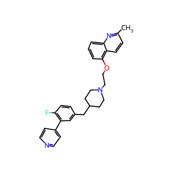 Cc1ccc2c(OCCN3CCC(Cc4ccc(F)c(-c5ccncc5)c4)CC3)cccc2n1